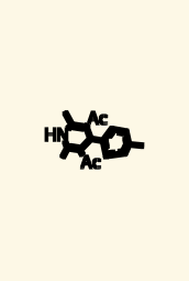 CC(=O)C1=C(C)NC(C)=C(C(C)=O)C1c1ccc(C)cc1